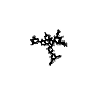 Cc1nc(C)nc(-c2ccc(-n3c4ccc(-c5cc(C#N)cc(C#N)c5)cc4c4cc(-c5cc(C#N)cc(C#N)c5)ccc43)c(-c3nc(C)nc(C)n3)c2)n1